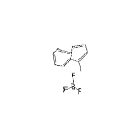 Cc1cccc2ccccc12.FB(F)F